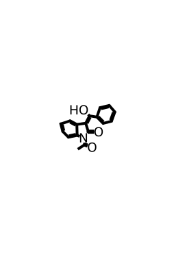 CC(=O)N1C(=O)C(=C(O)c2ccccc2)c2ccccc21